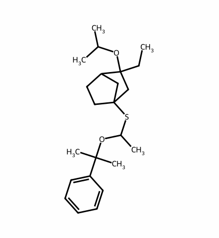 CCC1(OC(C)C)CC2(SC(C)OC(C)(C)c3ccccc3)CCC1C2